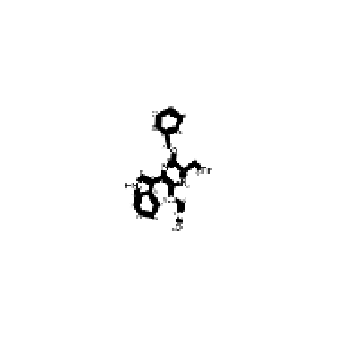 CC(C)Cc1nc(OC=C=O)c(-c2c[nH]c3ccccc23)nc1OCc1ccccc1